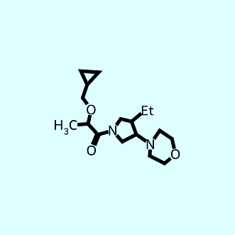 CCC1CN(C(=O)C(C)OCC2CC2)CC1N1CCOCC1